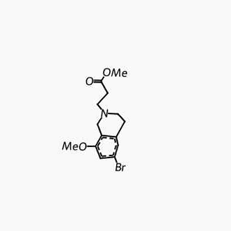 COC(=O)CCN1CCc2cc(Br)cc(OC)c2C1